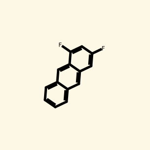 Fc1cc(F)c2cc3ccccc3cc2c1